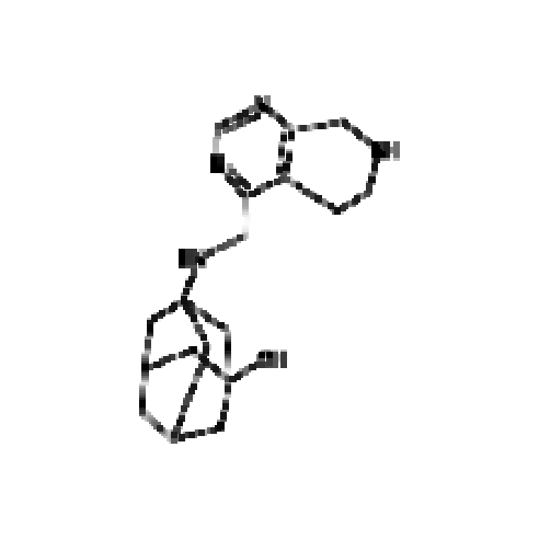 OC12CC3CC(C1)CC(NCc1ncnc4c1CCNC4)(C3)C2